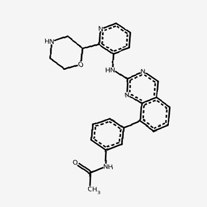 CC(=O)Nc1cccc(-c2cccc3cnc(Nc4cccnc4C4CNCCO4)nc23)c1